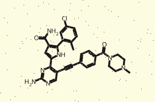 Cc1ccc(Cl)cc1-c1[nH]c(-c2nc(N)ncc2C#Cc2ccc(C(=O)N3CCN(C)CC3)cc2)cc1C(N)=O